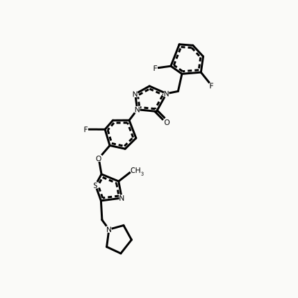 Cc1nc(CN2CCCC2)sc1Oc1ccc(-n2ncn(Cc3c(F)cccc3F)c2=O)cc1F